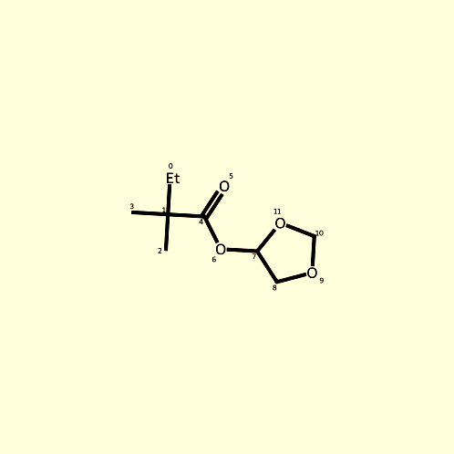 CCC(C)(C)C(=O)OC1COCO1